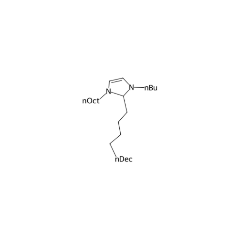 CCCCCCCCCCCCCCC1N(CCCC)C=CN1CCCCCCCC